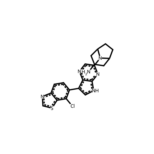 NC1CC2CCC(C1)N2c1cnc2c(-c3ccc4ncsc4c3Cl)c[nH]c2n1